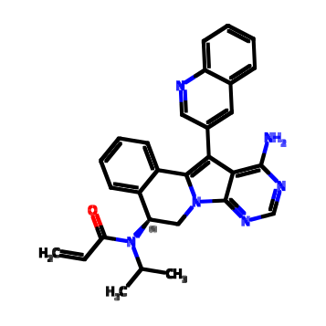 C=CC(=O)N(C(C)C)[C@@H]1Cn2c(c(-c3cnc4ccccc4c3)c3c(N)ncnc32)-c2ccccc21